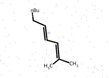 CCCCC/C=C/C=C(C)C